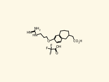 N=C(N)NCCCOc1ccc2c(c1)CCCC(CC(=O)O)C2.O=C(O)C(F)(F)F